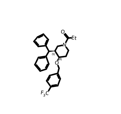 CCC(=O)N1CC[C@@H](OCc2ccc(C(F)(F)F)cc2)[C@@H](C(c2ccccc2)c2ccccc2)C1